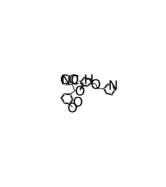 N#Cc1ccc(OCc2cccnc2)cc1OC(CCC(=O)O)c1cccc2c1OCO2